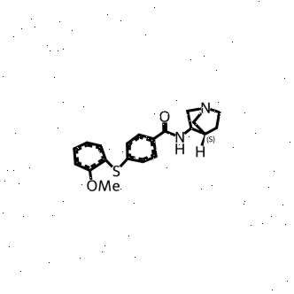 COc1ccccc1Sc1ccc(C(=O)NC2CN3CC[C@H]2C3)cc1